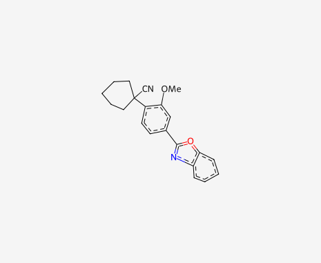 COc1cc(-c2nc3ccccc3o2)ccc1C1(C#N)CCCCC1